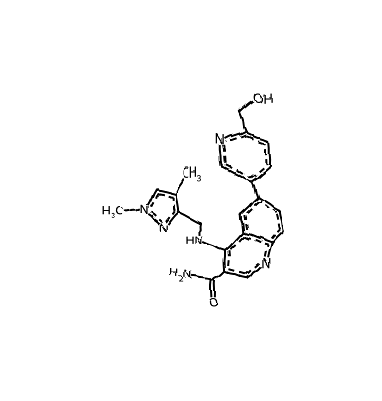 Cc1cn(C)nc1CNc1c(C(N)=O)cnc2ccc(-c3ccc(CO)nc3)cc12